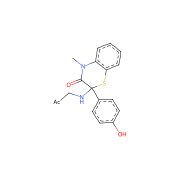 CC(=O)CNC1(c2ccc(O)cc2)Sc2ccccc2N(C)C1=O